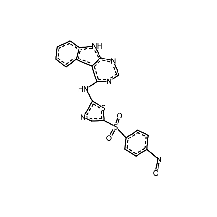 O=Nc1ccc(S(=O)(=O)c2cnc(Nc3ncnc4[nH]c5ccccc5c34)s2)cc1